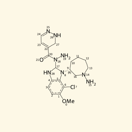 COc1ccc2c(c1Cl)N([C@@H]1CCCCN(N)C1)C(N(N)C(=O)C1=CC=NNC1)N2